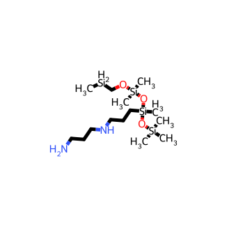 C[SiH2]CO[Si](C)(C)O[Si](C)(CCCNCCCN)O[Si](C)(C)C